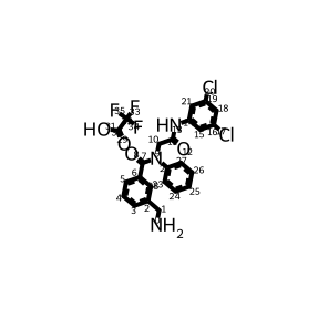 NCc1cccc(C(=O)N(CC(=O)Nc2cc(Cl)cc(Cl)c2)c2ccccc2)c1.O=C(O)C(F)(F)F